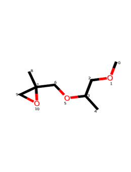 COCC(C)OCC1(C)CO1